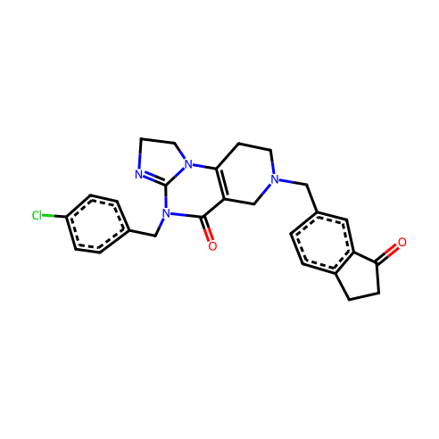 O=C1CCc2ccc(CN3CCC4=C(C3)C(=O)N(Cc3ccc(Cl)cc3)C3=NCCN34)cc21